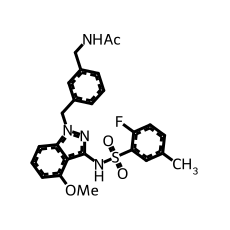 COc1cccc2c1c(NS(=O)(=O)c1cc(C)ccc1F)nn2Cc1cccc(CNC(C)=O)c1